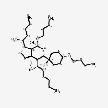 CC[C@@H](OCCCN)C1[C@@H]2CC[C@H]([C@H](C)CCCN)[C@@]2(C)[C@@H](OCCCN)C[C@@H]1[C@]1(C)CC[C@H](OCCCN)CC1